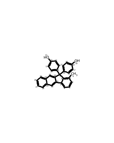 Cc1cccc2c1C(c1ccc(O)cc1)(c1ccc(O)cc1)c1cc3ccccc3cc1-2